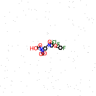 CC(C)(O)C(=O)N1CN(S(C)(=O)=O)c2ccc(Cn3ccc(OCc4ccc(F)cc4F)c(Cl)c3=O)cc21